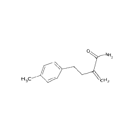 C=C(CCc1ccc(C)cc1)C(N)=O